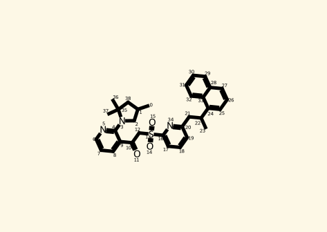 CC1CN(c2ncccc2C(=O)CS(=O)(=O)c2cccc(CC(C)c3cccc4ccccc34)n2)C(C)(C)C1